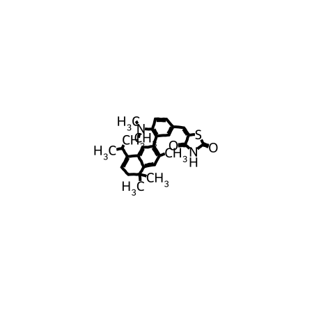 Cc1cc2c(cc1-c1cc(C=C3SC(=O)NC3=O)ccc1N(C)C)C(C(C)C)=CCC2(C)C